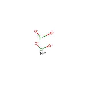 [Ni+2].[O-][Cl+][O-].[O-][Cl+][O-]